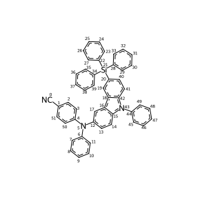 N#Cc1ccc(N(c2ccccc2)c2ccc3c(c2)c2cc([Si](c4ccccc4)(c4ccccc4)c4ccccc4)ccc2n3-c2ccccc2)cc1